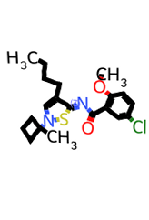 CCCCc1cn(C2(C)CCC2)s/c1=N\C(=O)c1cc(Cl)ccc1OC